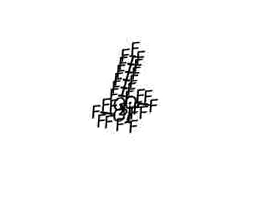 FC(F)=C(F)[Si](OC(F)(F)C(F)(F)F)(OC(F)(F)C(F)(F)F)OC(F)(F)C(F)(F)C(F)(F)C(F)(F)C(F)(F)C(F)(F)F